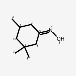 CC1CC(=NO)CC(C)(C)C1